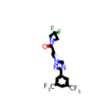 O=C(/C=C/n1cnc(-c2cc(C(F)(F)F)cc(C(F)(F)F)c2)n1)N1CC(F)(F)C1